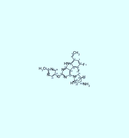 C=Cc1cc(F)c(F)c2c1[nH]c1nc(Oc3cnc(C)nc3)nc(N3C[C@H]4C[C@@H]3C[C@H]4N)c12